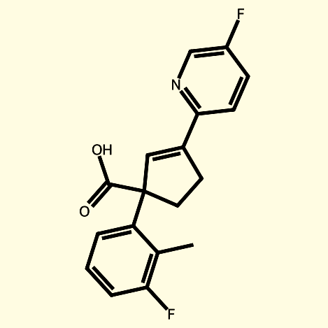 Cc1c(F)cccc1C1(C(=O)O)C=C(c2ccc(F)cn2)CC1